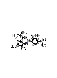 CCN(CC)c1ccc(/N=N/c2c(C#N)c(C(C)(C)C)nn2C(=O)N(C)C)c(NC(C)=O)c1